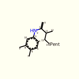 C=C(Nc1ccc(C)c(C)c1)C(C)CC(C)CCC